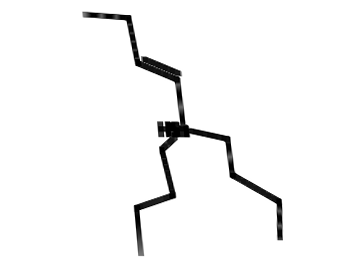 CCC=[CH][SnH]([CH2]CCC)[CH2]CCC